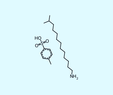 CC(C)CCCCCCCCCCCN.Cc1ccc(S(=O)(=O)O)cc1